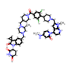 CNc1ccn(-c2ccnc3c2cc(CN2CCC(c4c(F)cc(C(=O)N5CCC(CN6CCN(Cc7ccc8c(c7)C7(CC7)C(=O)N8[C@@H]7CCC(=O)NC7=O)C[C@@H]6C)CC5)cc4F)CC2)n3C)c(=O)c1